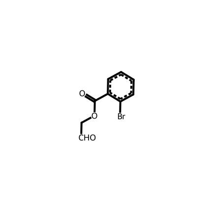 O=CCOC(=O)c1ccccc1Br